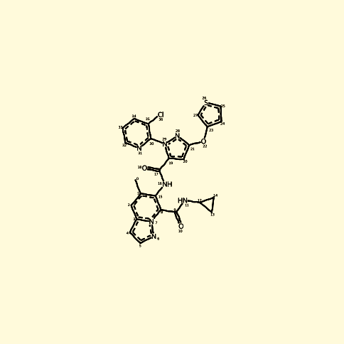 Cc1cc2ccnn2c(C(=O)NC2CC2)c1NC(=O)c1cc(Oc2ccsc2)nn1-c1ncccc1Cl